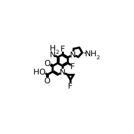 Nc1c(F)c(N2CC[C@H](N)C2)c(F)c2c1c(=O)c(C(=O)O)cn2C1CC1F